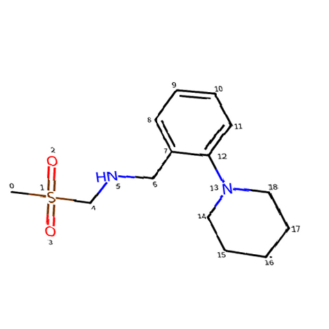 CS(=O)(=O)CNCc1ccccc1N1CC[CH]CC1